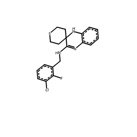 Fc1c(Cl)cccc1CNC1=Nc2ccccc2NC12CCSCC2